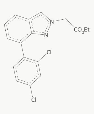 CCOC(=O)Cn1cc2cccc(-c3ccc(Cl)cc3Cl)c2n1